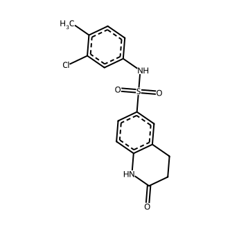 Cc1ccc(NS(=O)(=O)c2ccc3c(c2)CCC(=O)N3)cc1Cl